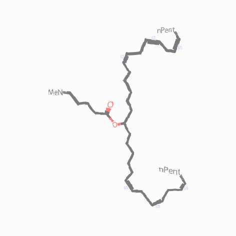 CCCCC/C=C\C/C=C\C/C=C\CCCCCC(CCCCC/C=C\C/C=C\C/C=C\CCCCC)OC(=O)CCCCNC